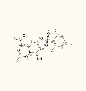 CC(=O)Nc1cc(OS(=O)(=O)c2c(C)cc(C)cc2C)nc(=N)n1OC(C)=O